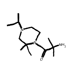 CC(C)N1CCN(C(=O)C(C)(C)N)C(C)(C)C1